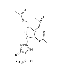 CC(=O)OC[C@H]1O[C@@H](c2nc3ncnc(Cl)c3[nH]2)[C@H](OC(C)=O)[C@H]1OC(C)=O